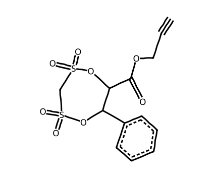 C#CCOC(=O)C1OS(=O)(=O)CS(=O)(=O)OC1c1ccccc1